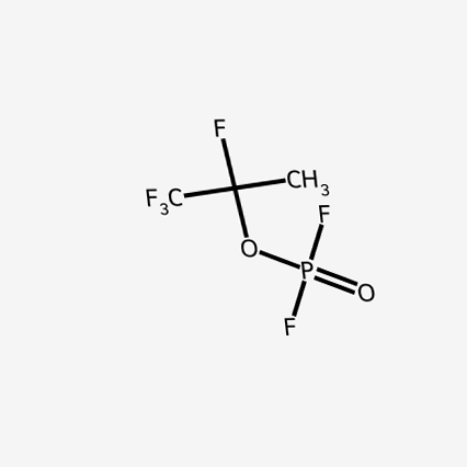 CC(F)(OP(=O)(F)F)C(F)(F)F